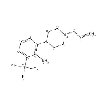 C=CCN1CCC(c2cccc(C(F)(F)F)c2N)CC1